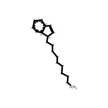 CCCCCCCCCC[C]1C=Cc2ccccc21